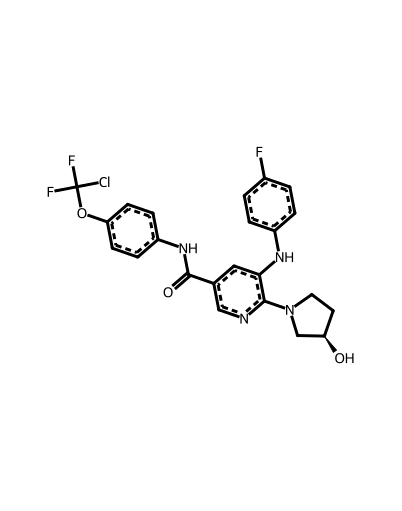 O=C(Nc1ccc(OC(F)(F)Cl)cc1)c1cnc(N2CC[C@@H](O)C2)c(Nc2ccc(F)cc2)c1